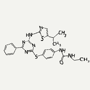 CCNC(=O)Nc1ccc(Sc2nc(Nc3ncc(C(C)C)s3)nc(-c3ccccc3)n2)cc1